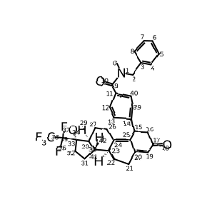 CN(Cc1ccccc1)C(=O)c1ccc(C2CC(=O)C=C3CC[C@@H]4C(=C32)CC[C@@]2(C)[C@H]4CC[C@@]2(O)C(F)(F)C(F)(F)F)cc1